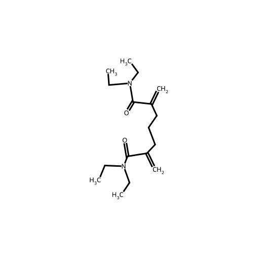 C=C(CCCC(=C)C(=O)N(CC)CC)C(=O)N(CC)CC